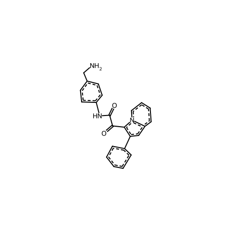 NCc1ccc(NC(=O)C(=O)c2c(-c3ccccc3)cc3ccccn23)cc1